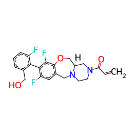 C=CC(=O)N1CCN2Cc3cc(F)c(-c4c(F)cccc4CO)c(F)c3OC[C@H]2C1